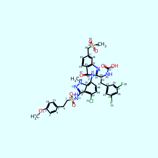 COc1ccc(CCS(=O)(=O)Nc2nn(C)c3c(-n4c([C@H](Cc5cc(F)cc(F)c5)NC(=O)O)nc5cc(CS(C)(=O)=O)ccc5c4=O)ccc(Cl)c23)cc1